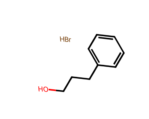 Br.OCCCc1ccccc1